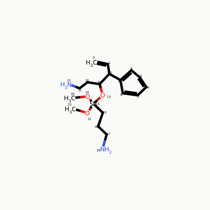 C=CC(c1ccccc1)C(CCN)O[Si](CCCN)(OC)OC